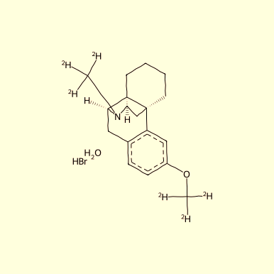 Br.O.[2H]C([2H])([2H])Oc1ccc2c(c1)[C@]13CCCC[C@@H]1[C@H](C2)N(C([2H])([2H])[2H])CC3